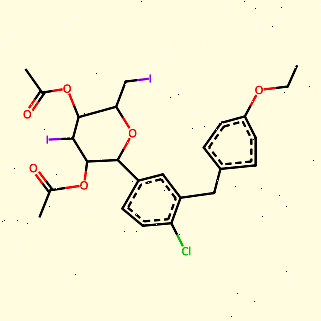 CCOc1ccc(Cc2cc(C3OC(CI)C(OC(C)=O)C(I)C3OC(C)=O)ccc2Cl)cc1